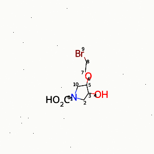 O=C(O)N1CC(O)C(OCCBr)C1